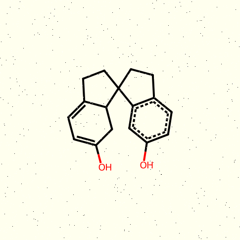 OC1=CC=C2CCC3(CCc4ccc(O)cc43)C2C1